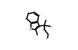 CCCC(C)(I)c1c(C)sc2c1C=CCC2